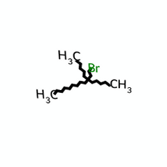 CCCCCCCCCC(CCBr)(CCCCCC)CCCCCC